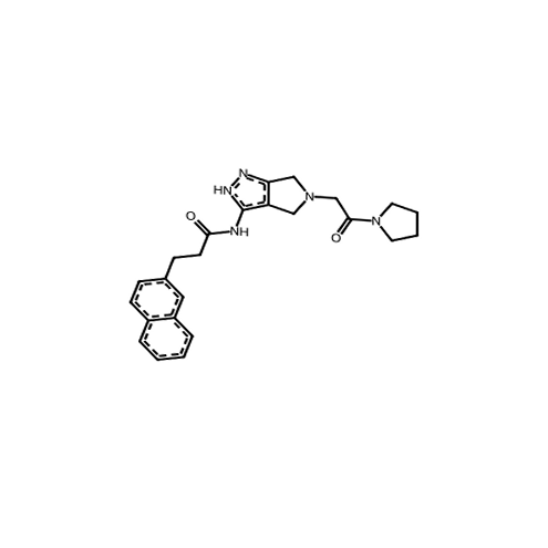 O=C(CCc1ccc2ccccc2c1)Nc1[nH]nc2c1CN(CC(=O)N1CCCC1)C2